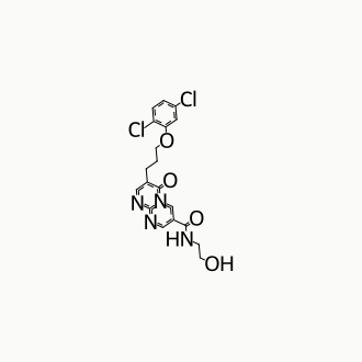 O=C(NCCO)c1cnc2ncc(CCCOc3cc(Cl)ccc3Cl)c(=O)n2c1